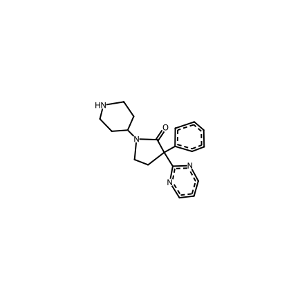 O=C1N(C2CCNCC2)CCC1(c1ccccc1)c1ncccn1